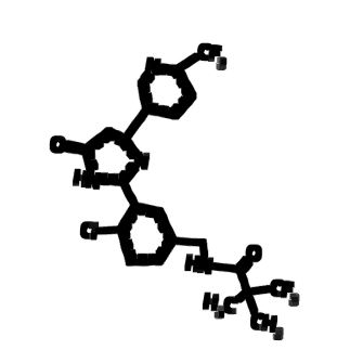 CC(C)(C(=O)NCc1ccc(Cl)c(-c2nc(-c3ccc(C(F)(F)F)nc3)cc(=O)[nH]2)c1)C(F)(F)F